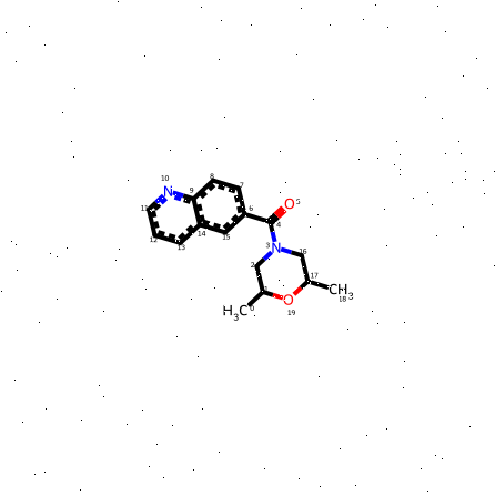 CC1CN(C(=O)c2ccc3ncccc3c2)CC(C)O1